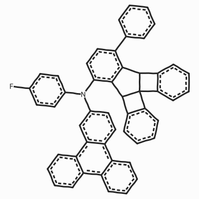 Fc1ccc(N(c2ccc3c4ccccc4c4ccccc4c3c2)c2ccc(-c3ccccc3)c3c2C2c4ccccc4C24c2ccccc2C34)cc1